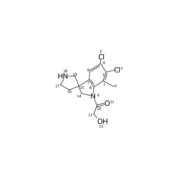 Cc1c(Cl)c(Cl)cc2c1N(C(=O)CO)CC21CCNC1